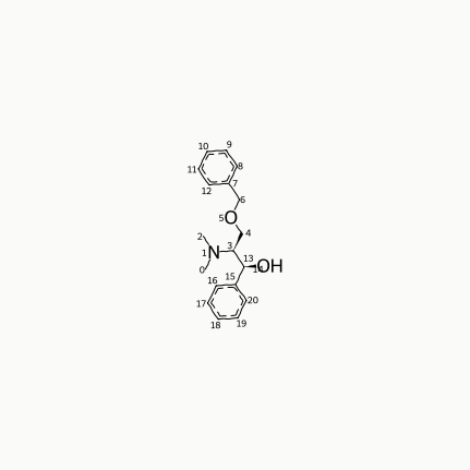 CN(C)[C@@H](COCc1ccccc1)[C@@H](O)c1ccccc1